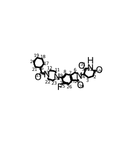 O=C1CCC(N2Cc3cc(N4CCN(C(=O)C5CCCCC5)CC4)c(F)cc3C2=O)C(=O)N1